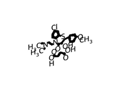 CCN(CC)CCN1C(=O)C(O)C(c2ccc(OC)cc2)Sc2cc(Cl)ccc21.O=C(O)C=CC(=O)O